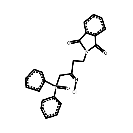 O=C1c2ccccc2C(=O)N1CCC(CP(=O)(c1ccccc1)c1ccccc1)=NO